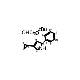 C1=C(C2CC2)CN[C@@H]1c1ccccc1.CC(C)(C)OC=O